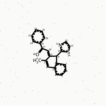 CC1=Cc2ccccc2C(c2nccs2)C1=CC(=O)c1ccccc1